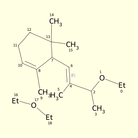 CCOC(C)/C(C)=C/C1C(C)=CCCC1(C)C.CCOCC